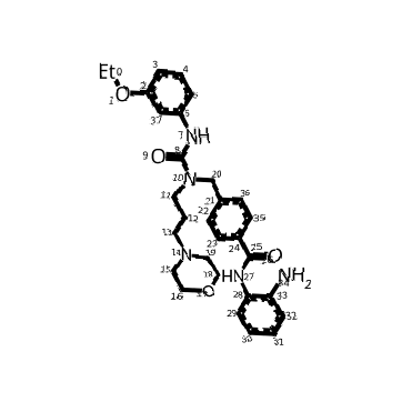 CCOc1cccc(NC(=O)N(CCCN2CCOCC2)Cc2ccc(C(=O)Nc3ccccc3N)cc2)c1